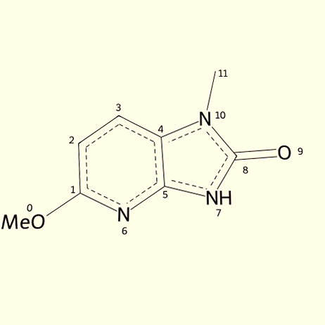 COc1ccc2c(n1)[nH]c(=O)n2C